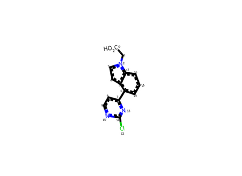 O=C(O)Cn1ccc2c(-c3ccnc(Cl)n3)cccc21